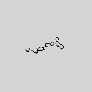 c1cncc(-c2ccc3ccc(-c4ccc5ccc(-c6cc7ccccc7c7ccccc67)cc5n4)cc3n2)c1